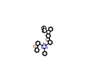 c1ccc(-c2nc(-c3cccc4c3sc3cc5c(cc34)-c3ccccc3C53C4CC5CC(C4)CC3C5)nc(-c3cccc4oc5ccccc5c34)n2)cc1